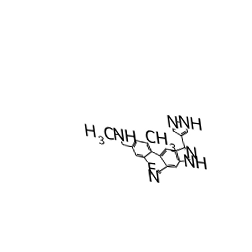 CNCc1cc(C)c(-c2cc3c(-c4cn[nH]c4)n[nH]c3cc2C#N)c(F)c1